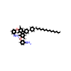 CCCCCCCCCCCCCCC[C@H]1CC[C@H](C2CCC(c3cc(C)c(Oc4cccc(N)c4)c(C)c3)(c3cc(C)c(Oc4cccc(N)c4)c(C)c3)CC2)CC1